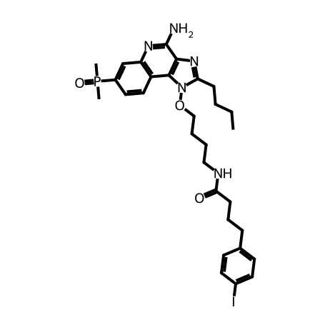 CCCCc1nc2c(N)nc3cc(P(C)(C)=O)ccc3c2n1OCCCCNC(=O)CCCc1ccc(I)cc1